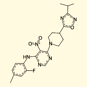 Cc1ccc(Nc2ncnc(N3CCC(c4nc(C(C)C)no4)CC3)c2[N+](=O)[O-])c(F)c1